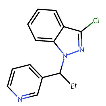 [CH2]CC(c1cccnc1)n1nc(Cl)c2ccccc21